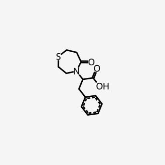 O=C(O)C(Cc1ccccc1)N1CCSCCC1=O